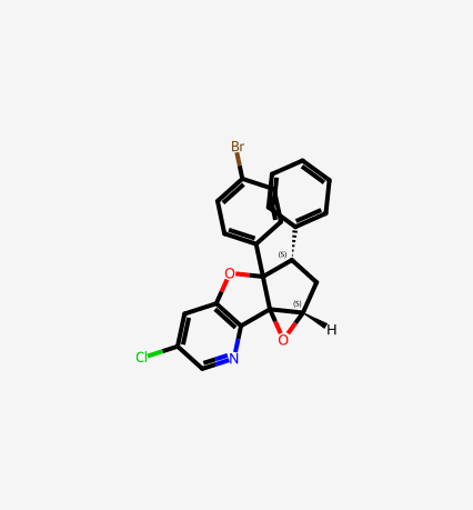 Clc1cnc2c(c1)OC1(c3ccc(Br)cc3)[C@H](c3ccccc3)C[C@@H]3OC231